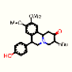 CCCCC1CN2CC(c3ccc(O)cc3)c3cc(OC)c(OC)cc3C2CC1=O